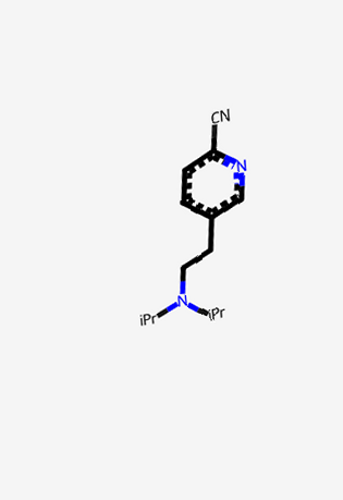 CC(C)N(CCc1ccc(C#N)nc1)C(C)C